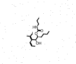 C/C=C\C(=C(/C)I)[C@H](O)[C@H](CCCC)OC(=O)NCCC